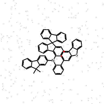 CC1(C)c2ccccc2-c2ccc(N(c3ccccc3-c3ccc4c(c3)sc3ccccc34)c3cccc4c3-c3ccccc3C43c4ccccc4-c4ccccc43)cc21